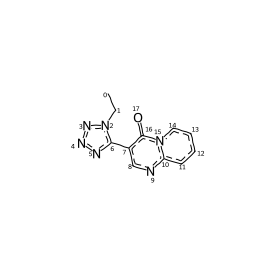 CCn1nnnc1-c1cnc2ccccn2c1=O